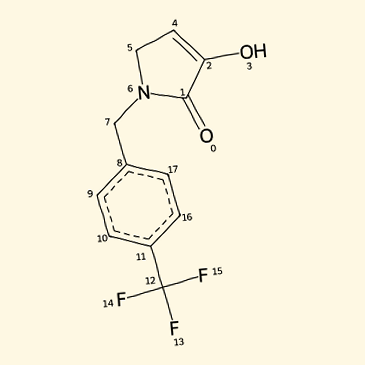 O=C1C(O)=CCN1Cc1ccc(C(F)(F)F)cc1